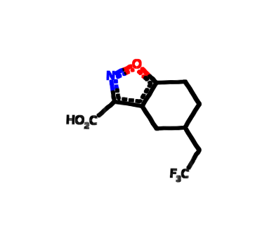 O=C(O)c1noc2c1CC(CC(F)(F)F)CC2